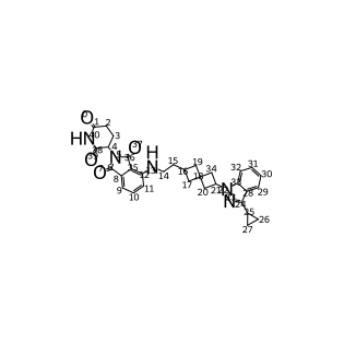 O=C1CCC(N2C(=O)c3cccc(NCCC4CC5(C4)CC(n4nc(C6CC6)c6ccccc64)C5)c3C2=O)C(=O)N1